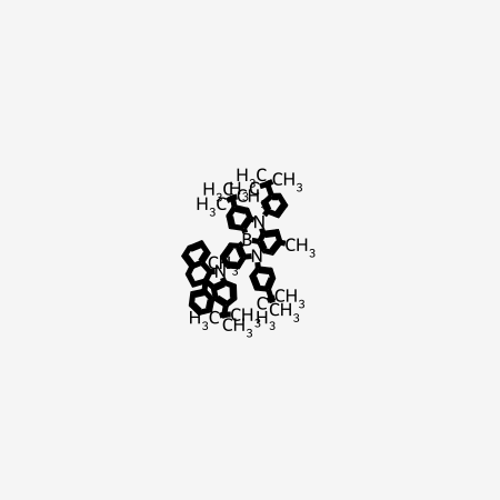 Cc1cc2c3c(c1)N(c1cccc(C(C)(C)C)c1)c1cc(C(C)(C)C)ccc1B3c1ccc(N3c4ccc(C(C)(C)C)cc4C4(c5ccccc5)CCc5ccccc5C34C)cc1N2c1ccc(C(C)(C)C)cc1